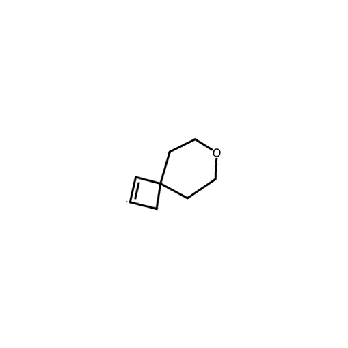 [C]1=CC2(C1)CCOCC2